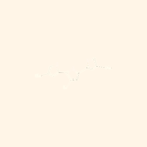 CC(C)(C)c1csc(-c2cc(Br)c(-c3cc(C(C)(C)C)cs3)s2)c1